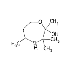 CC1BC(C)(C)C(C)(O)OCC1